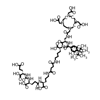 CC(C)(C)[Si](F)(c1ccc(C(=O)N[C@H](CNC(=O)CN2CCN(CC(=O)O)CCN(CC(=O)O)CCN(CC(=O)O)CC2)C(=O)N[C@@H](CCCCNC(=O)CCC(=O)NCCC[C@H](NC(=O)CC[C@H](NC(=O)N[C@@H](CCC(=O)O)C(=O)O)C(=O)O)C(=O)O)C(=O)O)cc1)C(C)(C)C